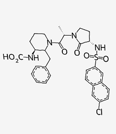 C[C@@H](C(=O)N1CCC[C@H](NC(=O)O)C1Cc1ccccc1)N1CC[C@H](NS(=O)(=O)c2ccc3cc(Cl)ccc3c2)C1=O